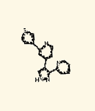 c1ccc(-c2n[nH]cc2-c2ccnc(-c3ccsc3)c2)nc1